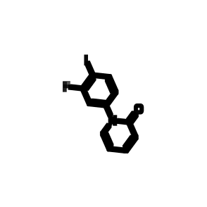 O=c1ccccn1-c1ccc(I)c(F)c1